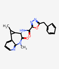 CC1C2c3cccnc3N(C)C(=O)[C@@H](NC(=O)c3nnc(Cc4ccccc4)o3)C12